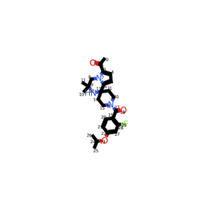 CC(=O)c1ccc2n1CC(C)(C)NC21CCN(C(=O)c2ccc(OC(C)C)cc2F)CC1